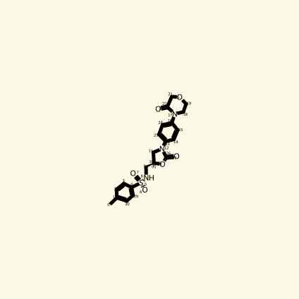 Cc1ccc(S(=O)(=O)NC[C@H]2CN(c3ccc(N4CCOCC4=O)cc3)C(=O)O2)cc1